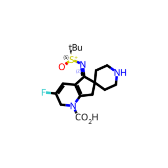 CC(C)(C)[S@@+]([O-])/N=C1\C2=C(CC13CCNCC3)N(C(=O)O)CC(F)=C2